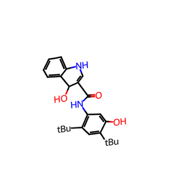 CC(C)(C)c1cc(C(C)(C)C)c(NC(=O)C2=CNc3ccccc3C2O)cc1O